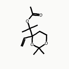 C=CC1(C(C)(C)OC(C)=O)CCOC(C)(C)O1